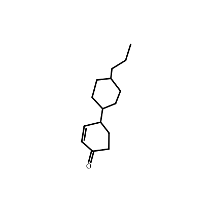 CCCC1CCC(C2C=CC(=O)CC2)CC1